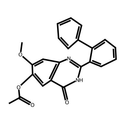 COc1cc2nc(-c3ccccc3-c3ccccc3)[nH]c(=O)c2cc1OC(C)=O